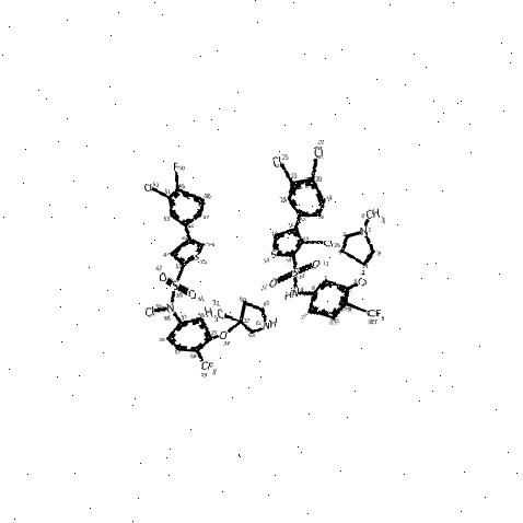 CN1CC[C@@H](Oc2cc(NS(=O)(=O)c3scc(-c4ccc(Cl)c(Cl)c4)c3Cl)ccc2C(F)(F)F)C1.C[C@@]1(Oc2cc(N(Cl)S(=O)(=O)c3cc(-c4ccc(F)c(Cl)c4)cs3)ccc2C(F)(F)F)CCNC1